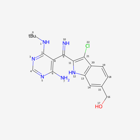 CC(C)(C)Nc1ncnc(N)c1C(=N)c1[nH]c2cc(CO)ccc2c1Cl